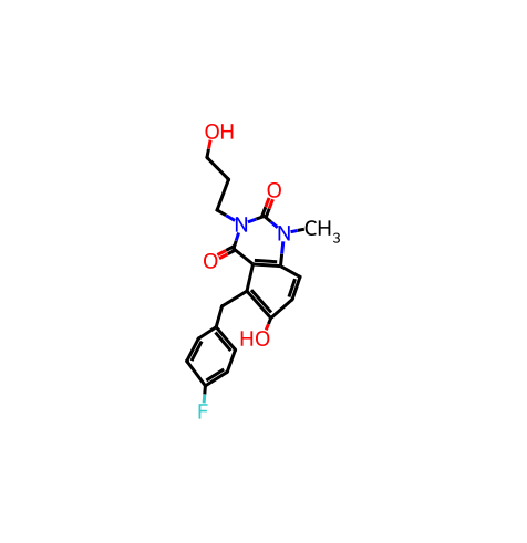 Cn1c(=O)n(CCCO)c(=O)c2c(Cc3ccc(F)cc3)c(O)ccc21